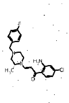 C[C@@H]1CN(Cc2ccc(F)cc2)CCN1C=CC(=O)c1ccc(Cl)cc1N